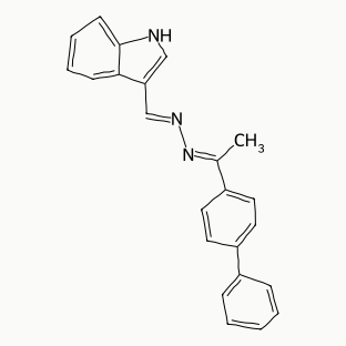 C/C(=N\N=C\c1c[nH]c2ccccc12)c1ccc(-c2ccccc2)cc1